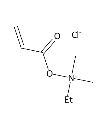 C=CC(=O)O[N+](C)(C)CC.[Cl-]